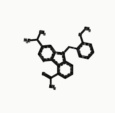 COc1ccccc1Cn1c2cc(C(C)C)c[c]c2c2c(C(N)=O)cccc21